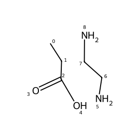 CCC(=O)O.NCCN